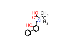 CC(C)[C@H](N=Cc1cccc(-c2ccccc2)c1O)C(=O)O